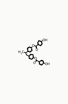 CC(Cc1ccc(OC(=O)c2ccc(O)cc2)cc1)c1ccc(OC(=O)c2ccc(O)cc2)cc1